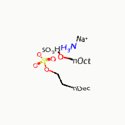 CCCCCCCCCCCCOS(=O)(=O)[O-].CCCCCCCCOS(=O)(=O)O.N.[Na+]